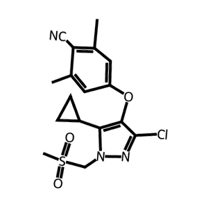 Cc1cc(Oc2c(Cl)nn(CS(C)(=O)=O)c2C2CC2)cc(C)c1C#N